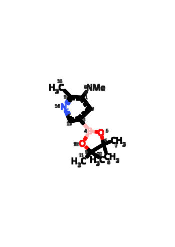 CNc1cc(B2OC(C)(C)C(C)(C)O2)cnc1C